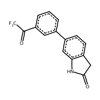 O=C1Cc2ccc(-c3cccc(C(=O)C(F)(F)F)c3)cc2N1